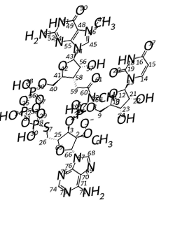 CO[C@@H]1[C@H](OP(=O)([O-])OC[C@H]2O[C@@H](n3ccc(=O)[nH]c3=O)[C@H](O)[C@@H]2O)[C@@H](CSP(=O)(O)OP(=O)(O)OP(=O)(O)OC[C@H]2O[C@@H](n3c[n+](C)c4c(=O)[nH]c(N)nc43)[C@H](O)[C@@H]2CC(=O)N(C)C)O[C@H]1n1cnc2c(N)ncnc21